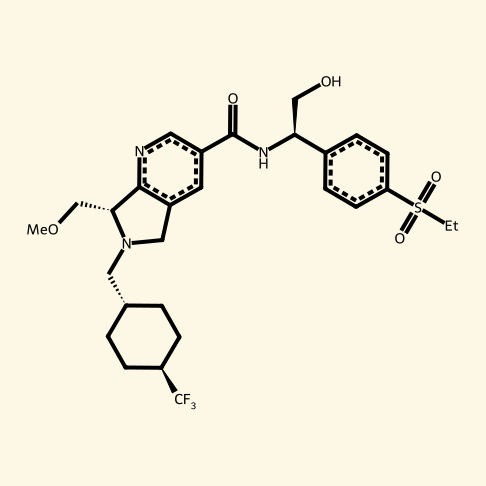 CCS(=O)(=O)c1ccc([C@H](CO)NC(=O)c2cnc3c(c2)CN(C[C@H]2CC[C@H](C(F)(F)F)CC2)[C@@H]3COC)cc1